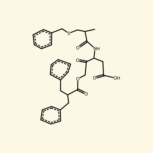 CC(CSCc1ccccc1)C(=O)NC(CC(=O)O)C(=O)COC(=O)C(Cc1ccccc1)Cc1ccccc1